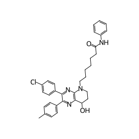 Cc1ccc(-c2nc3c(nc2-c2ccc(Cl)cc2)N(CCCCCCC(=O)Nc2ccccc2)CCC3O)cc1